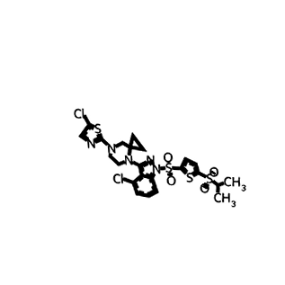 CC(C)S(=O)(=O)c1ccc(S(=O)(=O)n2nc(N3CCN(c4ncc(Cl)s4)CC34CC4)c3c(Cl)cccc32)s1